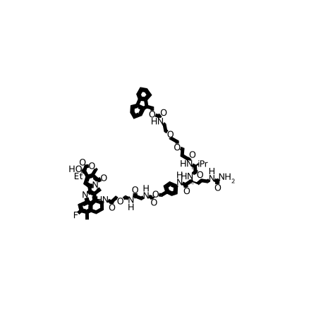 CC[C@@]1(O)C(=O)OCc2c1cc1n(c2=O)Cc2c-1nc1cc(F)c(C)c3c1c2[C@@H](NC(=O)COCNC(=O)CNC(=O)OCc1ccc(NC(=O)[C@H](CCCNC(N)=O)NC(=O)[C@@H](NC(=O)CCOCCOCCNC(=O)OCC2c4ccccc4-c4ccccc42)C(C)C)cc1)CC3